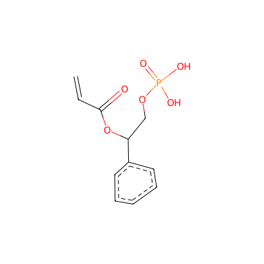 C=CC(=O)OC(COP(=O)(O)O)c1ccccc1